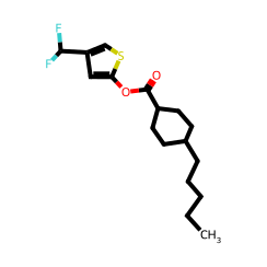 CCCCCC1CCC(C(=O)Oc2cc(C(F)F)cs2)CC1